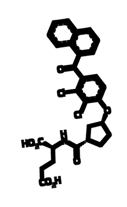 O=C(O)CC[C@H](NC(=O)[C@H]1CC[C@H](Oc2ccc(C(=O)c3cccc4ccccc34)c(Cl)c2Cl)C1)C(=O)O